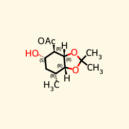 CC(=O)O[C@H]1[C@@H]2OC(C)(C)O[C@@H]2[C@H](C)C[C@@H]1O